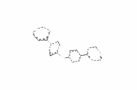 c1cc(-c2ccc(Oc3ccc(-c4ccncc4)cc3)cc2)ccn1